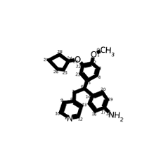 COc1ccc(C(Cc2ccncc2)c2ccc(N)cc2)cc1OC1CCCC1